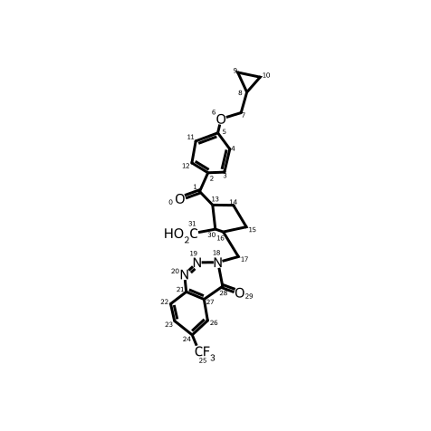 O=C(c1ccc(OCC2CC2)cc1)C1CCC(Cn2nnc3ccc(C(F)(F)F)cc3c2=O)C1C(=O)O